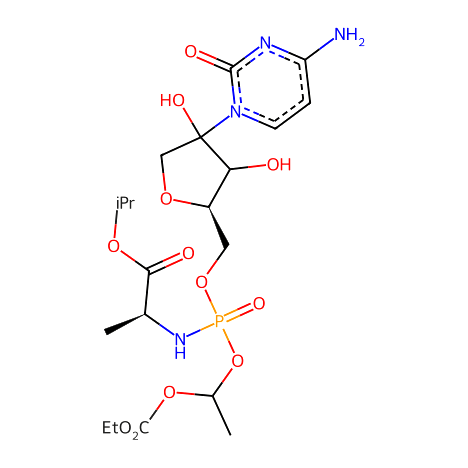 CCOC(=O)OC(C)OP(=O)(N[C@@H](C)C(=O)OC(C)C)OC[C@H]1OCC(O)(n2ccc(N)nc2=O)C1O